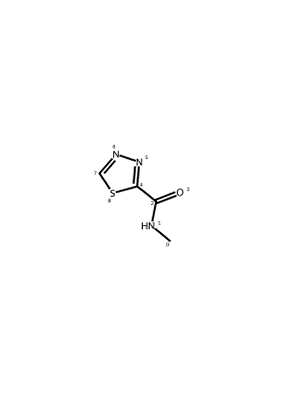 CNC(=O)c1nncs1